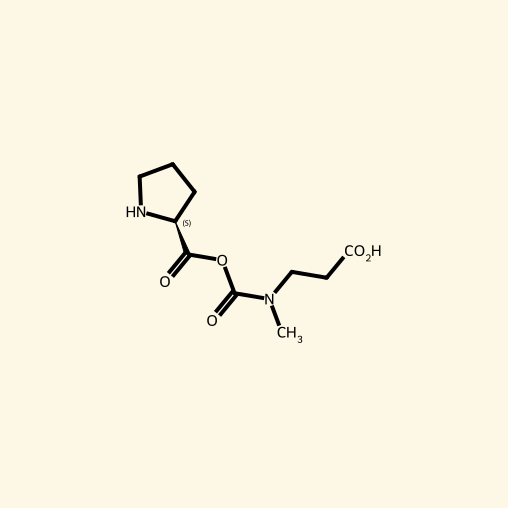 CN(CCC(=O)O)C(=O)OC(=O)[C@@H]1CCCN1